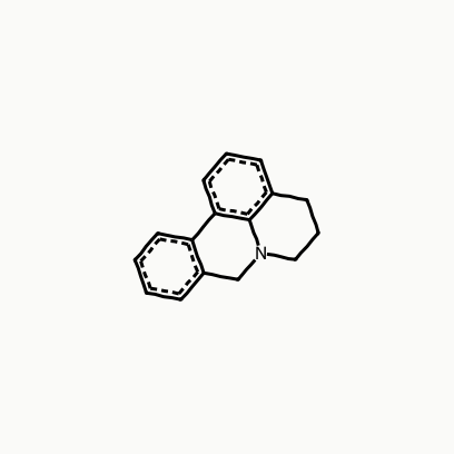 c1ccc2c(c1)CN1CCCc3cccc-2c31